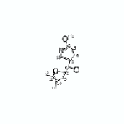 COc1ccc(C(=O)c2cc(C)c(C)o2)cn1